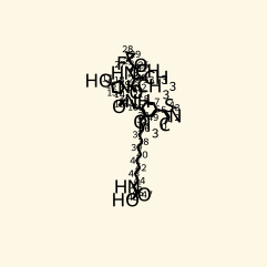 Cc1ncsc1-c1ccc(CNC(=O)[C@@H]2C[C@@H](O)CN2C(=O)[C@@H](NC(=O)C2(F)CC2)C(C)(C)C)c(OCCCCCCCCCNC(=O)O)c1